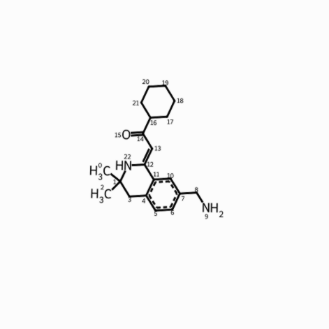 CC1(C)Cc2ccc(CN)cc2/C(=C/C(=O)C2CCCCC2)N1